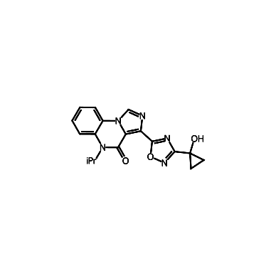 CC(C)n1c(=O)c2c(-c3nc(C4(O)CC4)no3)ncn2c2ccccc21